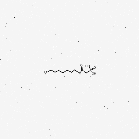 CCCCCCCCOC(=O)CP(=O)(O)O